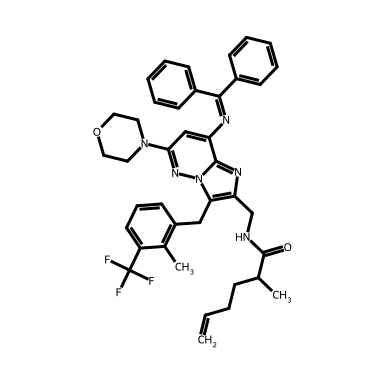 C=CCCC(C)C(=O)NCc1nc2c(N=C(c3ccccc3)c3ccccc3)cc(N3CCOCC3)nn2c1Cc1cccc(C(F)(F)F)c1C